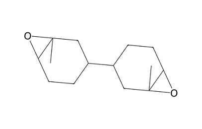 CC12CC(C3CCC4OC4(C)C3)CCC1O2